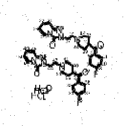 Cl.Cl.O.O=C(c1ccc(F)cc1)C1CCN(CCn2nc3ccccn3c2=O)CC1.O=C(c1ccc(F)cc1)C1CCN(CCn2nc3ccccn3c2=O)CC1